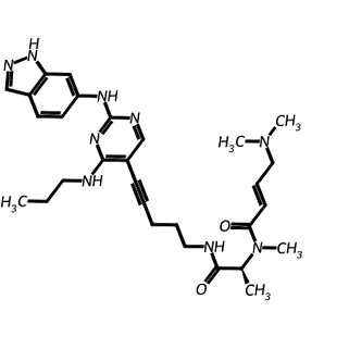 CCCNc1nc(Nc2ccc3cn[nH]c3c2)ncc1C#CCCCNC(=O)[C@H](C)N(C)C(=O)C=CCN(C)C